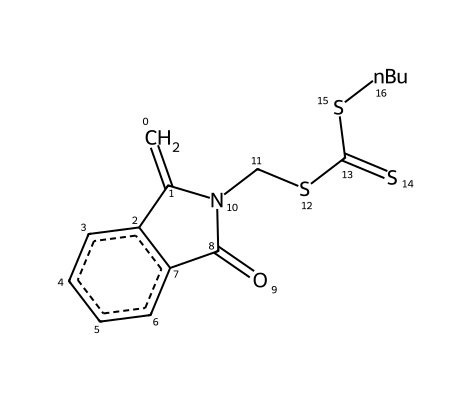 C=C1c2ccccc2C(=O)N1CSC(=S)SCCCC